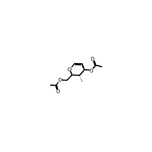 CC(=O)OCC1OC=CC(OC(C)=O)[C@@H]1C